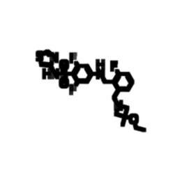 CCOC1(C)CN(Cc2cccc(F)c2CNc2cc(F)c(S(=O)(=O)Nc3cscn3)c(F)c2)C1